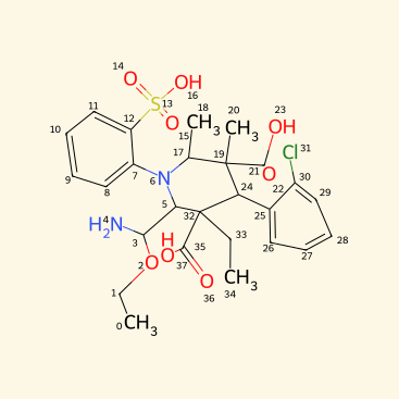 CCOC(N)C1N(c2ccccc2S(=O)(=O)O)C(C)C(C)(C(=O)O)C(c2ccccc2Cl)C1(CC)C(=O)O